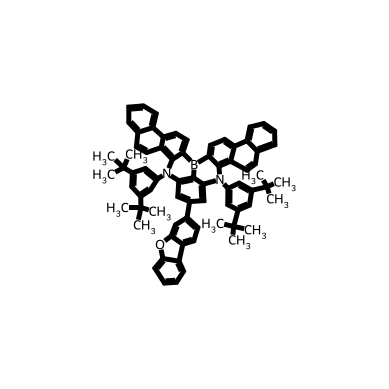 CC(C)(C)c1cc(N2c3cc(-c4ccc5c(c4)oc4ccccc45)cc4c3B(c3ccc5c(ccc6ccccc65)c32)c2ccc3c(ccc5ccccc53)c2N4c2cc(C(C)(C)C)cc(C(C)(C)C)c2)cc(C(C)(C)C)c1